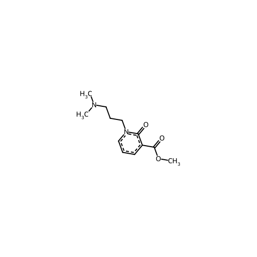 COC(=O)c1cccn(CCCN(C)C)c1=O